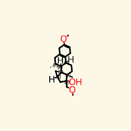 COC[C@]1(O)C[C@@H]2C[C@]23[C@@H]2[C@H](C)CC4=C(CC=C(OC)C4)[C@H]2CC[C@]13C